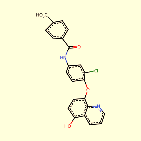 O=C(O)c1ccc(C(=O)Nc2ccc(Oc3ccc(O)c4cccnc34)c(Cl)c2)cc1